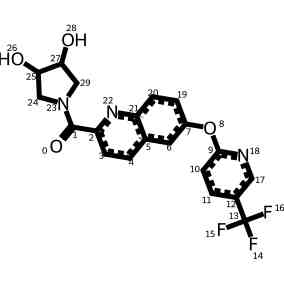 O=C(c1ccc2cc(Oc3ccc(C(F)(F)F)cn3)ccc2n1)N1CC(O)C(O)C1